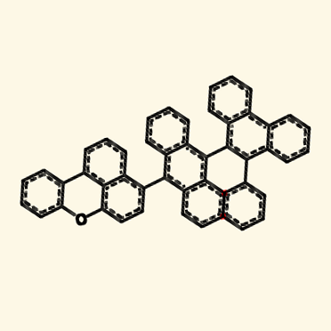 c1ccc(-c2c(-c3c4ccccc4c(-c4ccc5c6c(cccc46)-c4ccccc4O5)c4ccccc34)c3ccccc3c3ccccc23)cc1